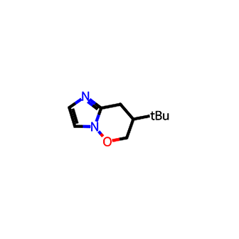 CC(C)(C)C1COn2ccnc2C1